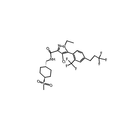 CCn1nc(C(=O)NC[C@H]2CC[C@H](S(C)(=O)=O)CC2)c(Cl)c1-c1ccc(CCC(F)(F)F)cc1C(F)(F)F